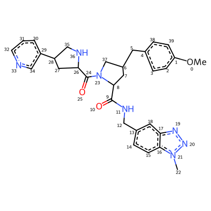 COc1ccc(CC2CC(C(=O)NCc3ccc4c(c3)nnn4C)N(C(=O)C3CC(c4cccnc4)CN3)C2)cc1